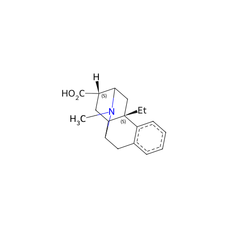 CC[C@]12CC3[C@@H](C(=O)O)CC1C(Cc1ccccc12)N3C